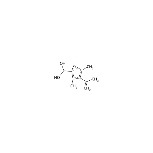 C=C(C)c1c(C)sc(C(O)O)c1C